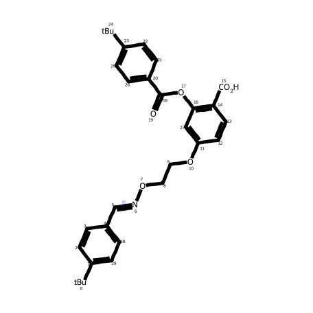 CC(C)(C)c1ccc(/C=N/OCCOc2ccc(C(=O)O)c(OC(=O)c3ccc(C(C)(C)C)cc3)c2)cc1